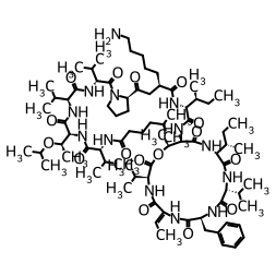 C/C=C1\NC(=O)[C@H](Cc2ccccc2)NC(=O)[C@@H](C(C)C)NC(=O)[C@@H]([C@@H](C)CC)NC(=O)[C@H](NC(=O)[C@H](NC(=O)[C@H](CCCCCN)CC(=O)[C@H]2CCCN2C(=O)[C@H](NC(=O)[C@@H](NC(=O)[C@@H](NC(=O)[C@H](NC(=O)CCCC(C)C)C(C)C)[C@@H](C)OC(C)C)C(C)C)C(C)C)[C@@H](C)CC)[C@H](C)OC(=O)[C@H](C(C)C)NC1=O